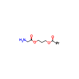 CC(C)C(=O)OCCCOC(=O)CN